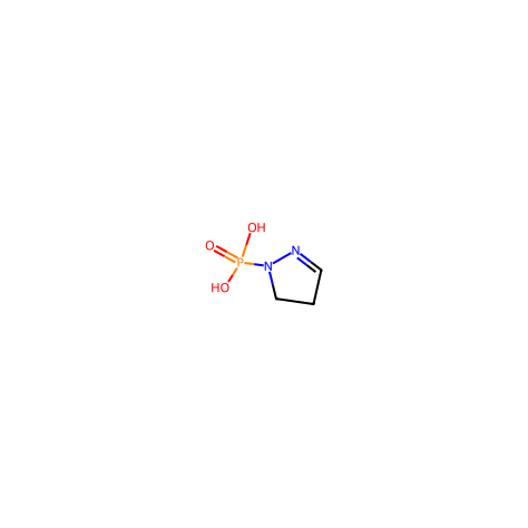 O=P(O)(O)N1CCC=N1